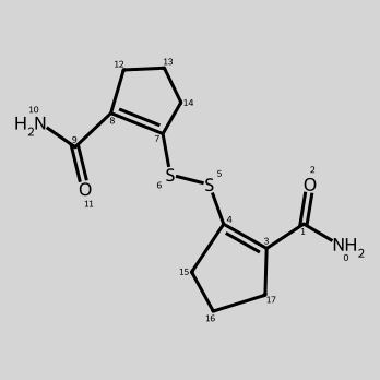 NC(=O)C1=C(SSC2=C(C(N)=O)CCC2)CCC1